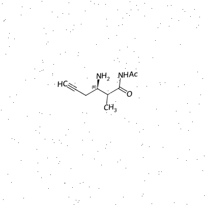 C#CC[C@@H](N)C(C)C(=O)NC(C)=O